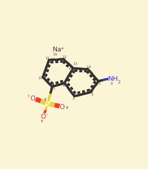 Nc1ccc2c(S(=O)(=O)[O-])cccc2c1.[Na+]